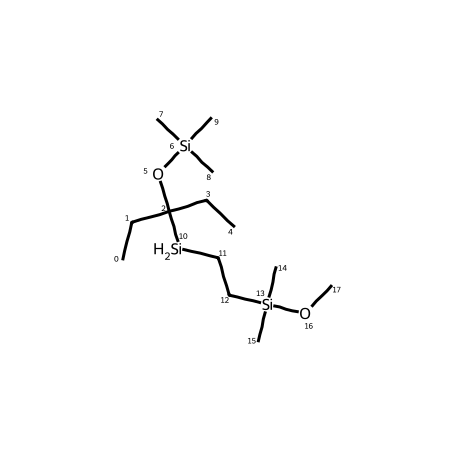 CCC(CC)(O[Si](C)(C)C)[SiH2]CC[Si](C)(C)OC